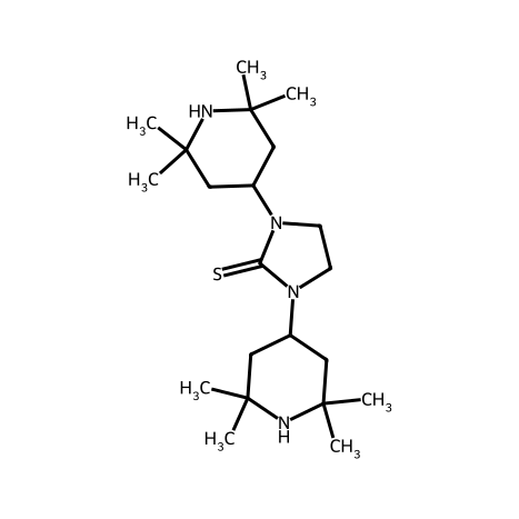 CC1(C)CC(N2CCN(C3CC(C)(C)NC(C)(C)C3)C2=S)CC(C)(C)N1